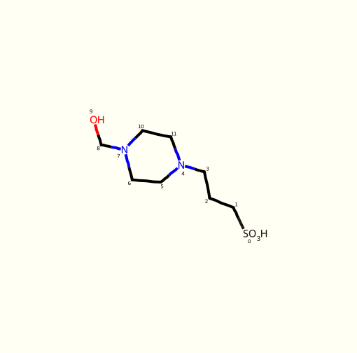 O=S(=O)(O)CCCN1CCN(CO)CC1